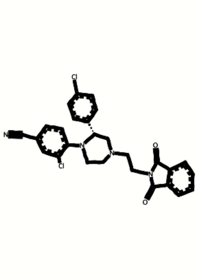 N#Cc1ccc(N2CCN(CCN3C(=O)c4ccccc4C3=O)C[C@H]2c2ccc(Cl)cc2)c(Cl)c1